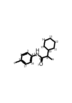 Cc1ccc(NC(=O)C(C)C2CCCCC2)cc1